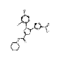 O=C(NN1CCCCC1)C1=NN(c2ccc(Cl)cc2Cl)C(c2ccc([N+](=O)[O-])s2)C1